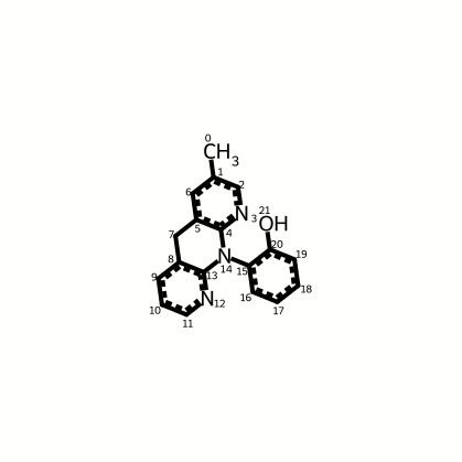 Cc1cnc2c(c1)Cc1cccnc1N2c1ccccc1O